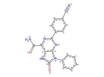 N#Cc1ccc(-c2nc(C(N)=O)c3[nH]c(=O)n(-c4ccccc4)c3n2)cc1